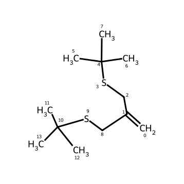 C=C(CSC(C)(C)C)CSC(C)(C)C